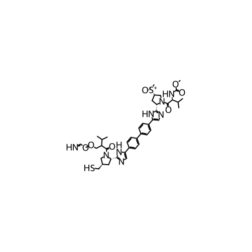 COC(=O)N[C@H](C(=O)N1C[C@@H]([S+](C)[O-])C[C@H]1c1ncc(-c2ccc(-c3ccc(-c4cnc([C@@H]5C[C@@H](CS)CN5C(=O)C(COOC=N)C(C)C)[nH]4)cc3)cc2)[nH]1)C(C)C